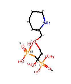 O=P(O)(O)C(O)(COCC1CCCCN1)P(=O)(O)O